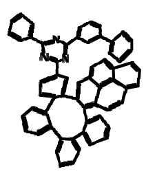 c1ccc(-c2cccc(-c3nc(-c4ccccc4)nc(-c4ccc5c6ccccc6c6ccccc6c6ccccc6c6c(cc7ccc8cccc9ccc6c7c89)c5c4)n3)c2)cc1